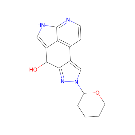 OC1c2nn(C3CCCCO3)cc2-c2ccnc3[nH]cc1c23